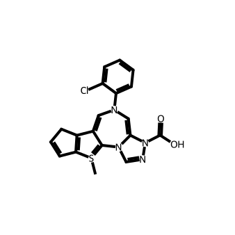 CS1=C2C(=CN(c3ccccc3Cl)C=C3N2C=NN3C(=O)O)C2=C1C=CC2